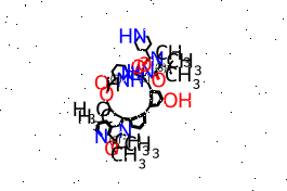 CCn1c(-c2cccnc2[C@H](C)OC)c2c3cc(ccc31)-c1cc(O)cc(c1)C[C@H](NC(=O)[C@H](C(C)C)N(C)C(=O)C1CCNCC1)C(=O)N1CCC[C@H](N1)C(=O)OCC(C)(C)C2